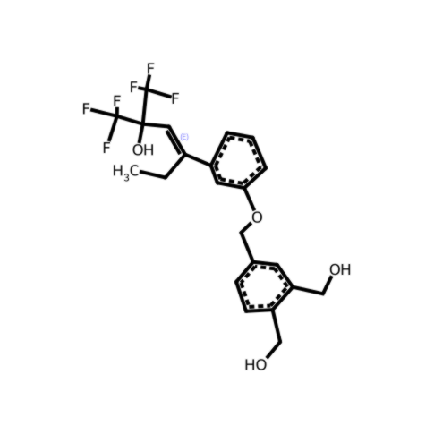 CC/C(=C\C(O)(C(F)(F)F)C(F)(F)F)c1cccc(OCc2ccc(CO)c(CO)c2)c1